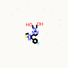 OCCN(CCO)c1nccc(-c2c(-c3ccc(F)cc3)nc3sccn23)n1